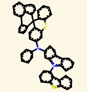 c1ccc(N(c2ccc3c(c2)Sc2ccccc2C32c3ccccc3-c3cccc4cccc2c34)c2ccc3c4ccccc4n(-c4cccc5sc6ccccc6c45)c3c2)cc1